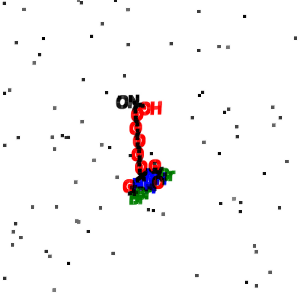 CC(C)(Br)C(=O)NCC(CNC(=O)C(C)(C)Br)(CNC(=O)C(C)(C)Br)COCCOCCOCCOCCOCC(CO)N=O